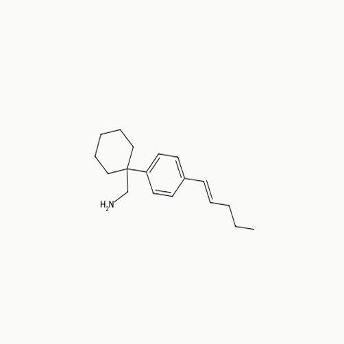 CCCC=Cc1ccc(C2(CN)CCCCC2)cc1